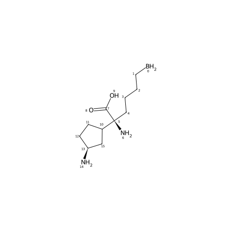 BCCCC[C@@](N)(C(=O)O)C1CC[C@H](N)C1